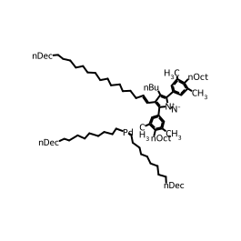 CCCCCCCCCCCCCCCCCCCCCCCCC=CC1=C(c2cc(C)c(CCCCCCCC)c(C)c2)[N+](=[N-])C(c2cc(C)c(CCCCCCCC)c(C)c2)=C1CCCC.CCCCCCCCCCCCCCCCCC[CH2][Pd][CH2]CCCCCCCCCCCCCCCCCC